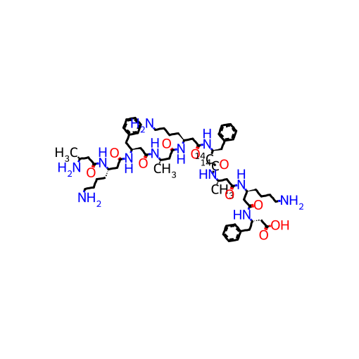 C[C@H](N)CC(=O)N[C@@H](CCCCN)CC(=O)N[C@H](CC(=O)N[C@@H](C)CC(=O)N[C@@H](CCCCN)CC(=O)N[C@@H](Cc1ccccc1)[14CH2][14C](=O)N[C@@H](C)CC(=O)N[C@@H](CCCCN)CC(=O)N[C@H](CC(=O)O)Cc1ccccc1)Cc1ccccc1